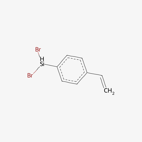 C=Cc1ccc([SiH](Br)Br)cc1